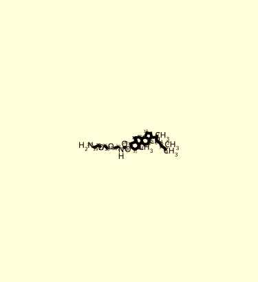 CC(C)CCCC(C)C1CCC2C3CC=C4CC(OC(=O)NCCOCCOCCN)CCC4(C)C3CCC12C